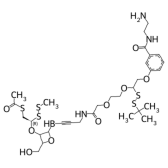 CSS[C@H](CSC(C)=O)OC1C(BC#CCNC(=O)COCCOC(COc2cccc(C(=O)NCCN)c2)SSC(C)(C)C)OC1CO